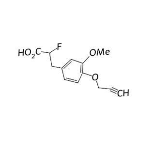 C#CCOc1ccc(CC(F)C(=O)O)cc1OC